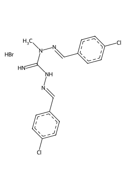 Br.CN(/N=C/c1ccc(Cl)cc1)C(=N)N/N=C/c1ccc(Cl)cc1